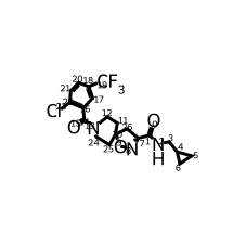 O=C(NCC1CC1)C1=NOC2(CCN(C(=O)c3cc(C(F)(F)F)ccc3Cl)CC2)C1